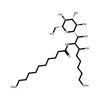 CCCCCCCCCCCCCCCCCCCC(=O)NC(C(O)CCCCCCCCCCCCCCC)C(O)[C@@H]1O[C@H](CO)[C@@H](O)[C@H](O)[C@H]1O